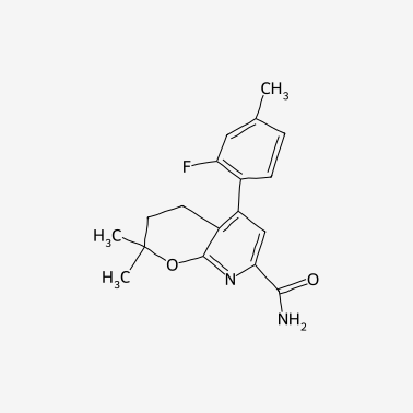 Cc1ccc(-c2cc(C(N)=O)nc3c2CCC(C)(C)O3)c(F)c1